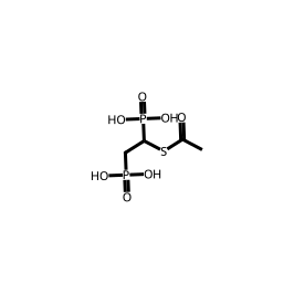 CC(=O)SC(CP(=O)(O)O)P(=O)(O)O